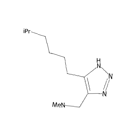 CNCc1nn[nH]c1CCCCC(C)C